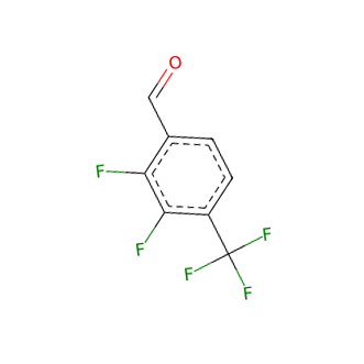 O=Cc1ccc(C(F)(F)F)c(F)c1F